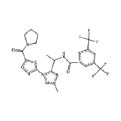 Cc1nc(C(C)NC(=O)c2cc(C(F)(F)F)cc(C(F)(F)F)c2)n(-c2ncc(C(=O)N3CCCC3)s2)n1